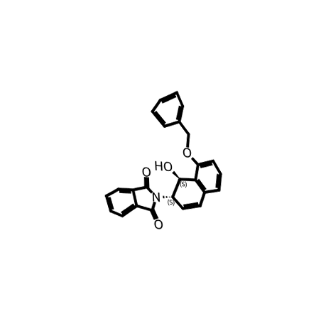 O=C1c2ccccc2C(=O)N1[C@H]1C=Cc2cccc(OCc3ccccc3)c2[C@@H]1O